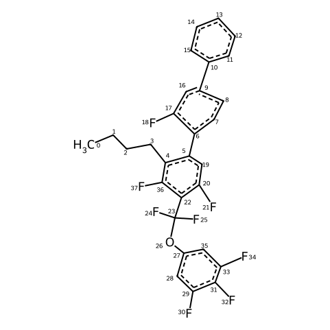 CCCCc1c(-c2ccc(-c3ccccc3)cc2F)cc(F)c(C(F)(F)Oc2cc(F)c(F)c(F)c2)c1F